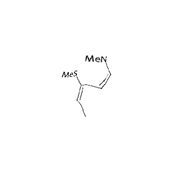 C/C=C(\C=C/NC)SC